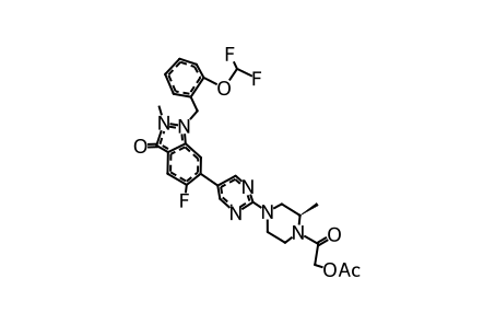 CC(=O)OCC(=O)N1CCN(c2ncc(-c3cc4c(cc3F)c(=O)n(C)n4Cc3ccccc3OC(F)F)cn2)C[C@H]1C